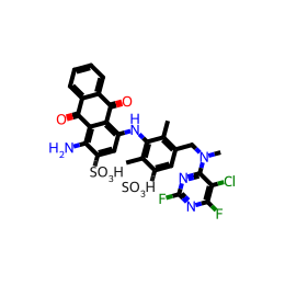 Cc1c(CN(C)c2nc(F)nc(F)c2Cl)cc(S(=O)(=O)O)c(C)c1Nc1cc(S(=O)(=O)O)c(N)c2c1C(=O)c1ccccc1C2=O